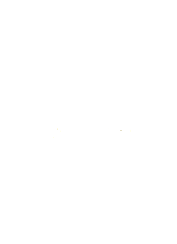 CCCCCCCCC(CCCN)C(=O)O